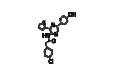 O=C(Cc1ccc(Cl)cc1)Nc1ncc(-c2ccc(O)cc2)nc1-c1cccs1